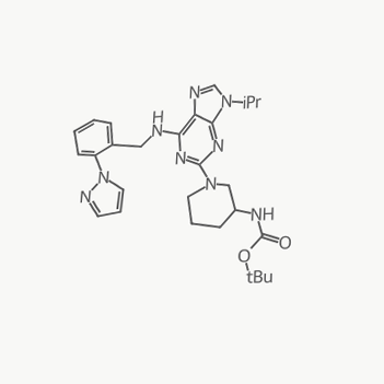 CC(C)n1cnc2c(NCc3ccccc3-n3cccn3)nc(N3CCCC(NC(=O)OC(C)(C)C)C3)nc21